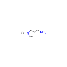 CC(C)N1CCC(CN)C1